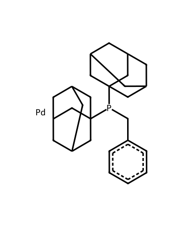 [Pd].c1ccc(CP(C23CC4CC(CC(C4)C2)C3)C23CC4CC(CC(C4)C2)C3)cc1